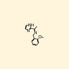 COc1ccccc1CN=C(C)c1ncc[nH]1